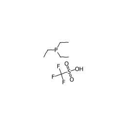 CCP(CC)CC.O=S(=O)(O)C(F)(F)F